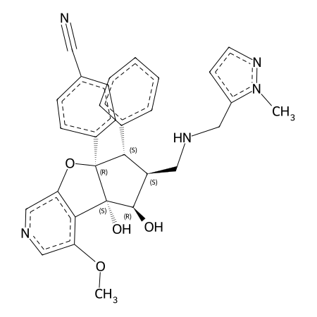 COc1cncc2c1[C@]1(O)[C@H](O)[C@H](CNCc3ccnn3C)[C@@H](c3ccccc3)[C@]1(c1ccc(C#N)cc1)O2